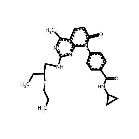 CCCCC(CC)CNc1nc(C)c2ccc(=O)n(-c3ccc(C(=O)NC4CC4)cc3)c2n1